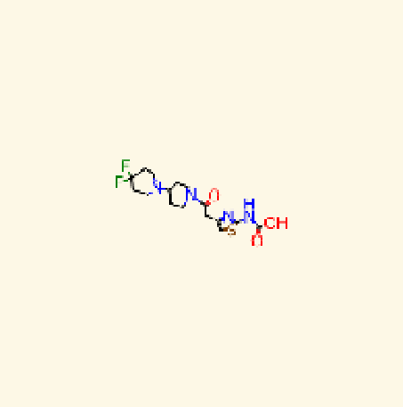 O=C(O)Nc1nc(CC(=O)N2CCC(N3CCC(F)(F)CC3)CC2)cs1